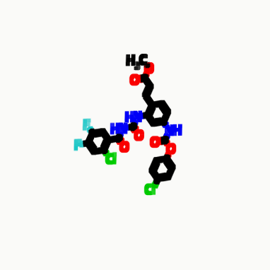 COC(=O)/C=C/c1ccc(NC(=O)Oc2ccc(Cl)cc2)cc1NC(=O)NC(=O)c1cc(F)c(F)cc1Cl